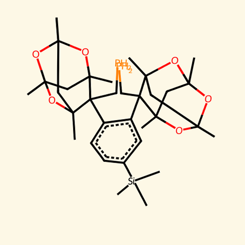 CC12CC3(C)OC(C)(CC(C)(O1)C3(CP)c1ccc([Si](C)(C)C)cc1C1(CP)C3(C)CC4(C)OC(C)(CC1(C)O4)O3)O2